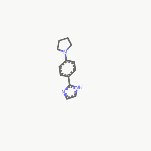 c1c[nH]c(-c2ccc(N3CCCC3)cc2)n1